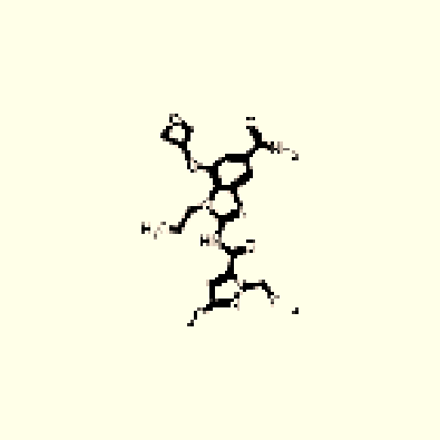 CCCn1c(NC(=O)c2cc(C)nn2CC)nc2cc(C(N)=O)cc(OC3COC3)c21